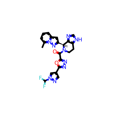 Cc1cccc2cc([C@H]3c4nc[nH]c4CCN3C(=O)c3nnc(-c4cnn(C(F)F)c4)o3)nn12